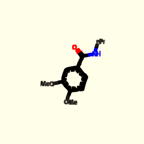 [CH2]CCNC(=O)c1ccc(OC)c(OC)c1